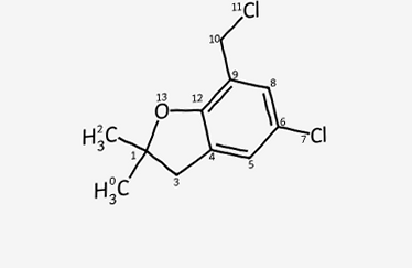 CC1(C)Cc2cc(Cl)cc(CCl)c2O1